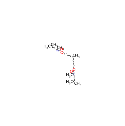 CC(C)=CCC/C(C)=C/C(=O)OCCCCCCC(C)CCCCCCOC(=O)/C=C(\C)CCC=C(C)C